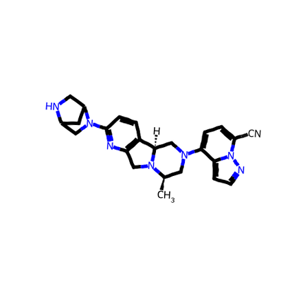 C[C@@H]1CN(c2ccc(C#N)n3nccc23)C[C@@H]2c3ccc(N4CC5CC4CN5)nc3CN12